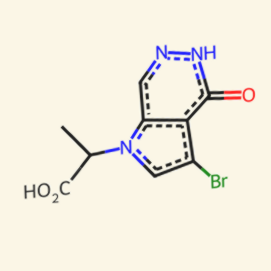 CC(C(=O)O)n1cc(Br)c2c(=O)[nH]ncc21